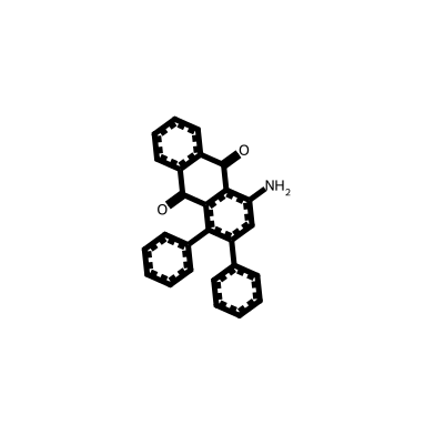 Nc1cc(-c2ccccc2)c(-c2ccccc2)c2c1C(=O)c1ccccc1C2=O